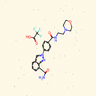 NC(=O)c1cccc2cn(-c3ccc(C(=O)NCCN4CCOCC4)cc3)nc12.O=C(O)C(F)(F)F